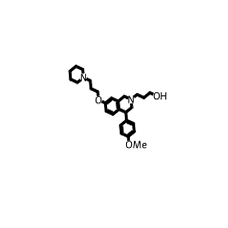 COc1ccc(C2CN(CCCO)Cc3cc(OCCCN4CCCCC4)ccc32)cc1